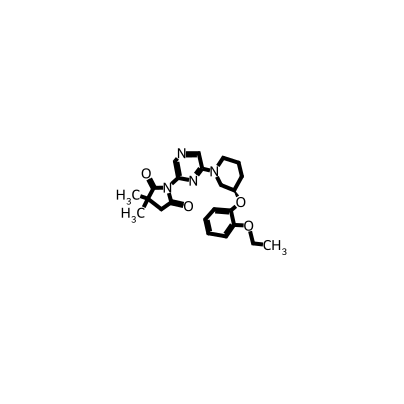 CCOc1ccccc1O[C@@H]1CCCN(c2cncc(N3C(=O)CC(C)(C)C3=O)n2)C1